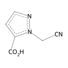 N#CCn1nccc1C(=O)O